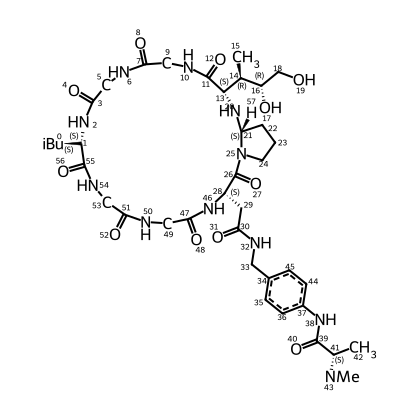 CC[C@H](C)[C@@H]1NC(=O)CNC(=O)CNC(=O)[C@H]([C@@H](C)[C@@H](O)CO)N[C@@H]2CCCN2C(=O)[C@H](CC(=O)NCc2ccc(NC(=O)[C@H](C)NC)cc2)NC(=O)CNC(=O)CNC1=O